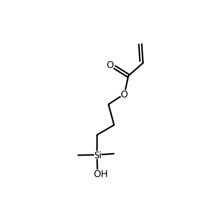 C=CC(=O)OCCC[Si](C)(C)O